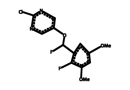 COc1cc(OC)c(F)c(C(F)Oc2cnc(Cl)nc2)c1